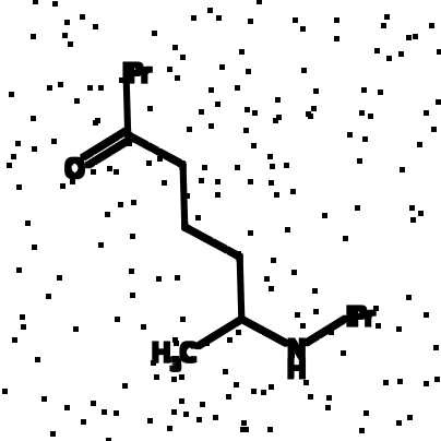 CC(C)NC(C)CCCC(=O)C(C)C